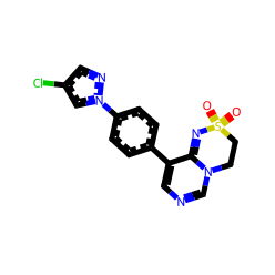 O=S1(=O)CCN2C=NC=C(c3ccc(-n4cc(Cl)cn4)cc3)C2=N1